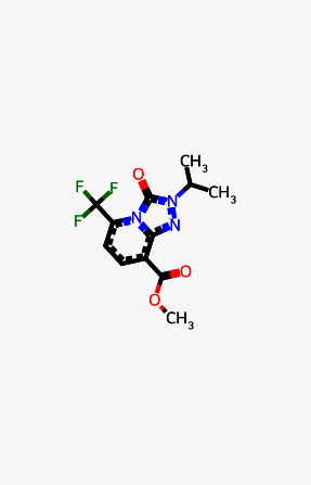 COC(=O)c1ccc(C(F)(F)F)n2c(=O)n(C(C)C)nc12